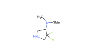 CNN(C)C1CNCC1(F)F